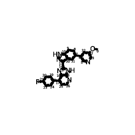 COc1cncc(-c2ccc3[nH]nc(-c4nc5c(-c6ccc(F)cc6)ccnc5[nH]4)c3c2)c1